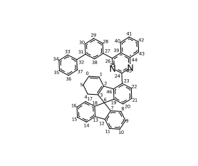 C1=CC2=C(CC1)C1(c3ccccc3-c3ccccc31)c1cccc(-c3nc(-c4cccc(-c5ccccc5)c4)c4ccccc4n3)c12